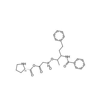 CC(O[PH](=O)CC(=O)OC(=O)[C@@H]1CCCN1)C(CCc1ccccc1)NC(=O)c1ccccc1